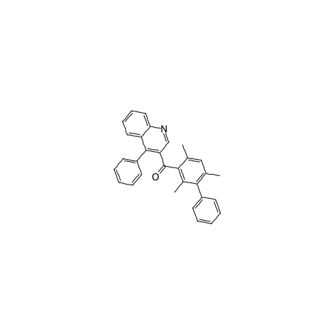 Cc1cc(C)c(-c2ccccc2)c(C)c1C(=O)c1cnc2ccccc2c1-c1ccccc1